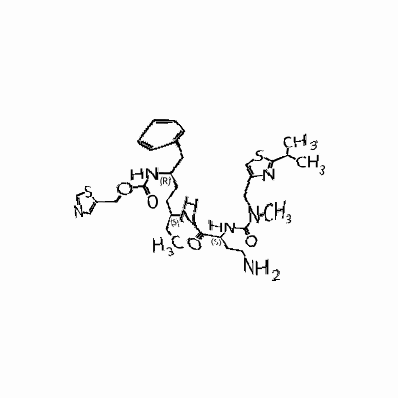 CC[C@@H](CC[C@H](Cc1ccccc1)NC(=O)OCc1cncs1)NC(=O)[C@H](CCN)NC(=O)N(C)Cc1csc(C(C)C)n1